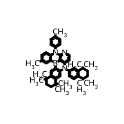 Cc1ccc(N2c3ccc(C)cc3B3c4cc5c(cc4N(c4ccc6c(c4)C(C)(C)CCC6(C)C)c4ccnc2c43)C(C)(C)CCC5(C)C)cc1